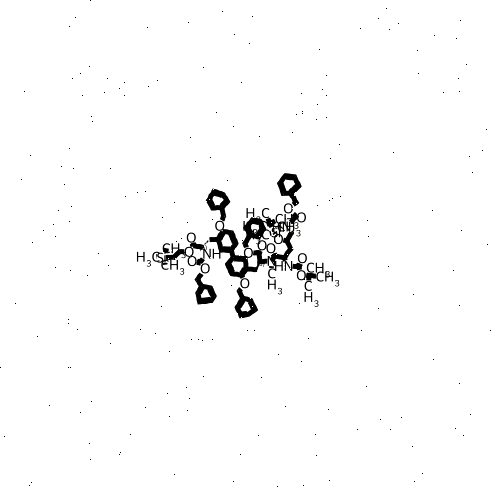 CN(C(=O)C(CC(CNC(=O)OCc1ccccc1)O[Si](C)(C)C(C)(C)C)NC(=O)OC(C)(C)C)[C@@H](Cc1cc(-c2ccc(OCc3ccccc3)c(C[C@H](NC(=O)OCc3ccccc3)C(=O)OCC[Si](C)(C)C)c2)ccc1OCc1ccccc1)C(=O)OCc1ccccc1